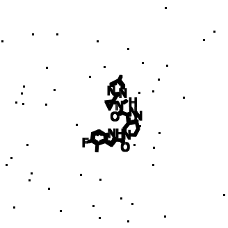 Cc1cnc(C2(N(C)C(=O)c3[nH]nc4c3CN(C(=O)c3cc5c(C)c(F)ccc5[nH]3)CC4)CC2)nc1